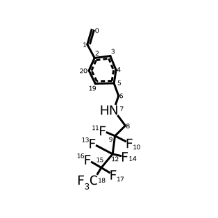 C=Cc1ccc(CNCC(F)(F)C(F)(F)C(F)(F)C(F)(F)F)cc1